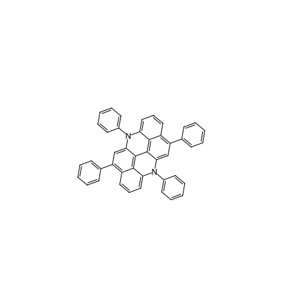 c1ccc(-c2cc3c4c5c2cccc5n(-c2ccccc2)c2cc(-c5ccccc5)c5cccc(c5c2-4)n3-c2ccccc2)cc1